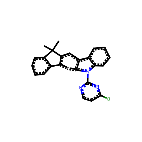 CC1(C)c2ccccc2-c2cc3c(cc21)c1ccccc1n3-c1nccc(Cl)n1